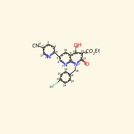 [C-]#[N+]c1ccc(-c2cnc3c(c2)c(O)c(C(=O)OCC)c(=O)n3Cc2ccc(F)cc2)nc1